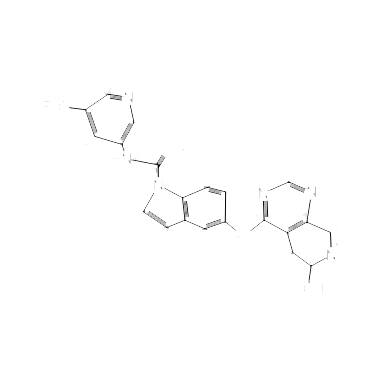 CC1Cc2c(ncnc2Oc2ccc3c(ccn3C(=O)Nc3cncc(C(F)(F)F)c3)c2)CN1